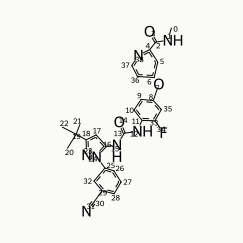 CNC(=O)c1cc(Oc2ccc(NC(=O)Nc3cc(C(C)(C)C)nn3-c3cccc(C#N)c3)c(F)c2)ccn1